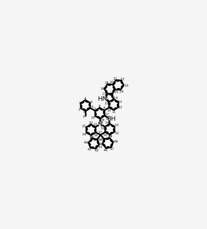 Cc1ccccc1-c1cc(-c2cccc3c2[nH]c2ccc4ccccc4c23)c2c(c1)N1c3ccccc3C(c3ccccc3)(c3ccccc3)c3cccc(c31)B2